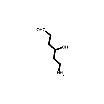 NCCC(O)CC[C]=O